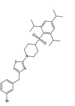 CC(C)c1cc(C(C)C)c(S(=O)(=O)C2CCN(c3nc(Cc4cccc(Br)c4)cs3)CC2)c(C(C)C)c1